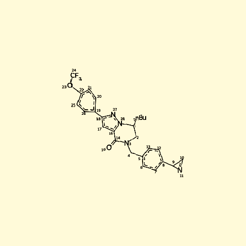 CCCCC1CN(Cc2ccc(C3C=N3)cc2)C(=O)c2cc(-c3ccc(OC(F)(F)F)cc3)nn21